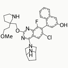 COCCC1(COc2nc(N3CC4CCC(C3)N4)c3cc(Cl)c(-c4cc(O)cc5ccccc45)c(F)c3n2)CCCN1